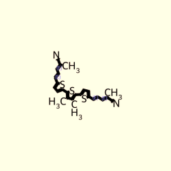 C/C(C#N)=C\C=C\c1ccc(-c2sc(-c3ccc(/C=C/C=C(\C)C#N)s3)c(C)c2C)s1